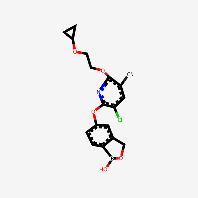 N#Cc1cc(Cl)c(Oc2ccc3c(c2)COB3O)nc1OCCOC1CC1